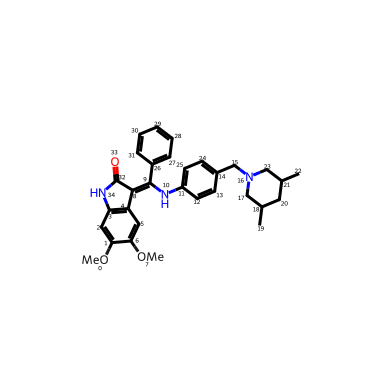 COc1cc2c(cc1OC)C(=C(Nc1ccc(CN3CC(C)CC(C)C3)cc1)c1ccccc1)C(=O)N2